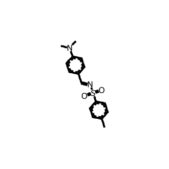 Cc1ccc(S(=O)(=O)/N=C/c2ccc(N(C)C)cc2)cc1